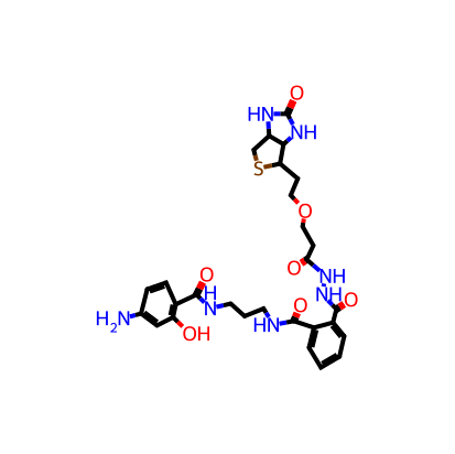 Nc1ccc(C(=O)NCCCNC(=O)c2ccccc2C(=O)NNC(=O)CCOCCC2SCC3NC(=O)NC32)c(O)c1